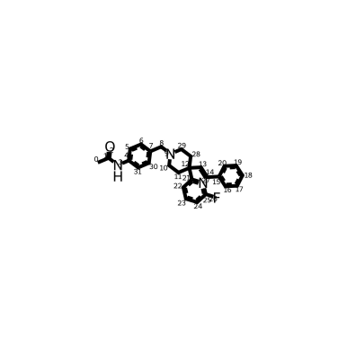 CC(=O)Nc1ccc(CN2CCC(C=Cc3ccccc3)(c3cccc(F)n3)CC2)cc1